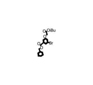 CC(C)COC(=O)COc1cc(Br)cc(C(=O)OCc2ccccc2)c1